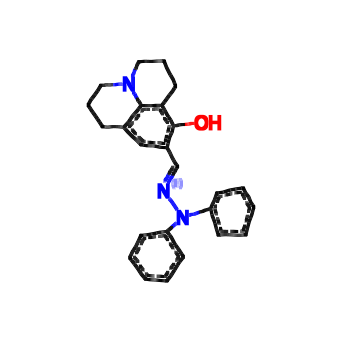 Oc1c(/C=N/N(c2ccccc2)c2ccccc2)cc2c3c1CCCN3CCC2